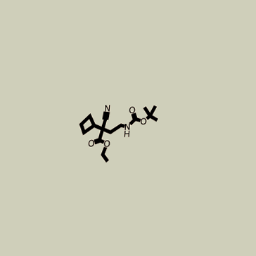 CCOC(=O)C(C#N)(CCNC(=O)OC(C)(C)C)C1CCC1